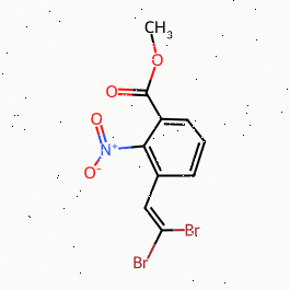 COC(=O)c1cccc(C=C(Br)Br)c1[N+](=O)[O-]